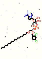 C=Nn1c(/C(N)=N\C)ccc1[C@]1(C)O[C@@H]2C(OP(=O)(O)OC[C@@H](COCCCCCCCCCCCCCCCCCC)OCc3ccc(Cl)cc3Cl)[C@]2(O)[C@H]1O